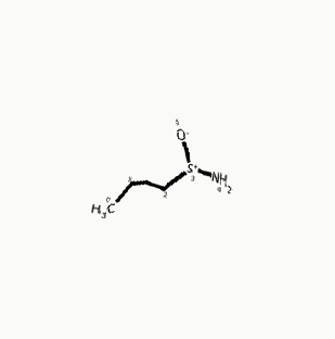 CCC[S+](N)[O-]